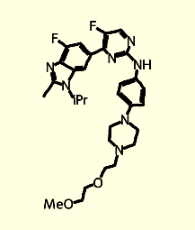 COCCOCCN1CCN(c2ccc(Nc3ncc(F)c(-c4cc(F)c5nc(C)n(C(C)C)c5c4)n3)cc2)CC1